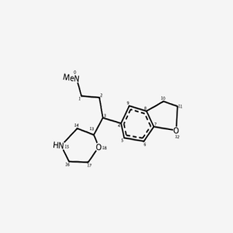 CNCCC(c1ccc2c(c1)CCO2)C1CNCCO1